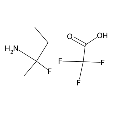 CCC(C)(N)F.O=C(O)C(F)(F)F